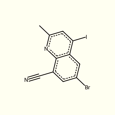 Cc1cc(I)c2cc(Br)cc(C#N)c2n1